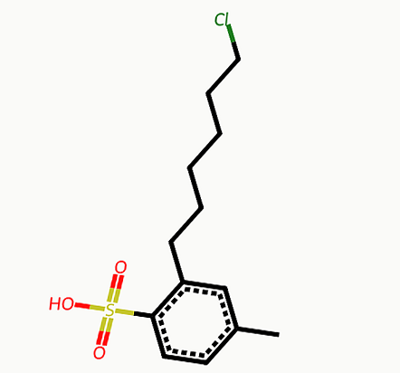 Cc1ccc(S(=O)(=O)O)c(CCCCCCCl)c1